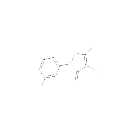 Cc1cccc(-n2[nH]c(C)c(C)c2=O)c1